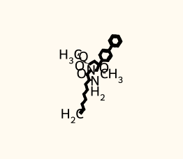 C=CCCCCC[C@H](N)C(=O)N1C[C@](OC)(C2C=CC(c3ccccc3)=CC2)C[C@H]1C(=O)OC